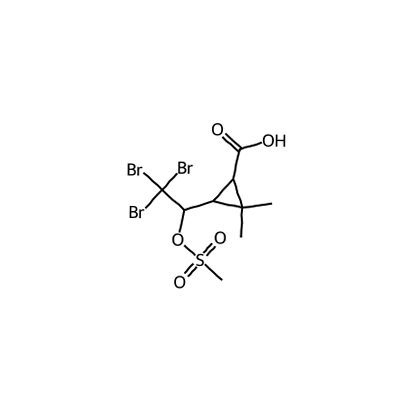 CC1(C)C(C(=O)O)C1C(OS(C)(=O)=O)C(Br)(Br)Br